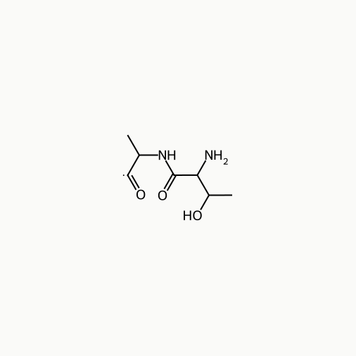 CC([C]=O)NC(=O)C(N)C(C)O